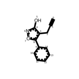 C#CCc1c(O)noc1-c1ccccc1